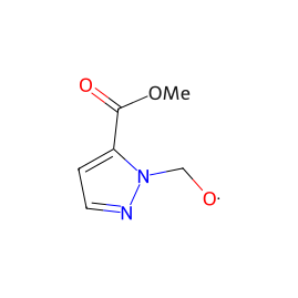 COC(=O)c1ccnn1C[O]